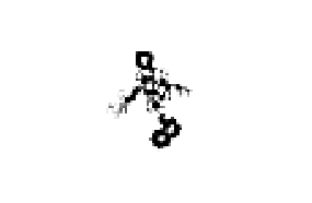 CC(C)C[C@@H]1ON(C(=O)OCc2cccc3ccccc23)[C@H]2CN(CCC(N)=O)C(=O)[C@H](CC3CCCCC3)N2C1=O